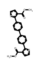 COC(=O)c1ccsc1-c1ccc(-c2ccc(-c3sccc3C(=O)OC)cc2)cc1